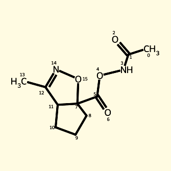 CC(=O)NOC(=O)C12CCCC1C(C)=NO2